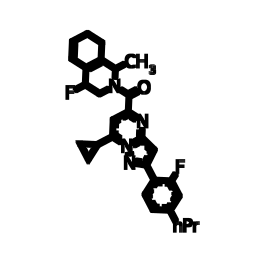 CCCc1ccc(-c2cc3nc(C(=O)N4CC(F)C5=C(CCC=C5)C4C)cc(C4CC4)n3n2)c(F)c1